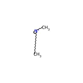 CCCCCCCCCCCCCCCc1ccc[n+](CCCCCC)c1